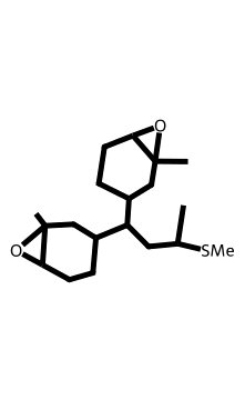 CSC(C)CC(C1CCC2OC2(C)C1)C1CCC2OC2(C)C1